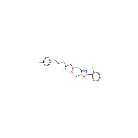 Cc1ccc(CCNC(=O)CC(=O)Cc2nc(-c3ccccc3F)oc2C)cc1